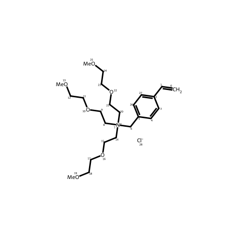 C=Cc1ccc(C[N+](CCOCCOC)(CCOCCOC)CCOCCOC)cc1.[Cl-]